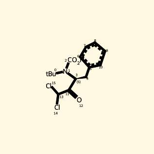 CC(C)(C)N(C(=O)O)[C@@H](Cc1ccccc1)C(=O)C(Cl)Cl